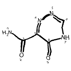 NC(=O)c1nnc[nH]c1=O